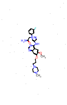 COc1cc2c(NC3=C[N+](CC(N)=O)(c4cccc(F)c4)N=C3)ncnc2cc1OCCCN1CCN(C)CC1